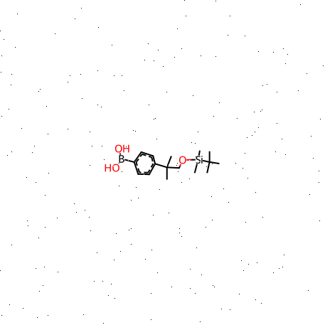 CC(C)(CO[Si](C)(C)C(C)(C)C)c1ccc(B(O)O)cc1